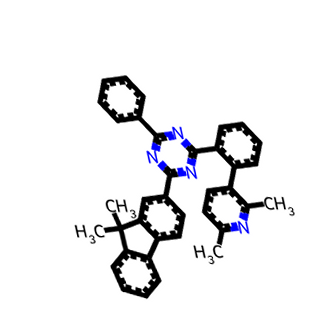 Cc1ccc(-c2ccccc2-c2nc(-c3ccccc3)nc(-c3ccc4c(c3)C(C)(C)c3ccccc3-4)n2)c(C)n1